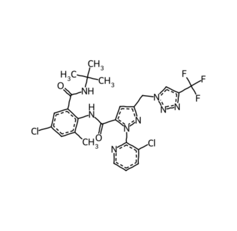 Cc1cc(Cl)cc(C(=O)NC(C)(C)C)c1NC(=O)c1cc(Cn2cc(C(F)(F)F)nn2)nn1-c1ncccc1Cl